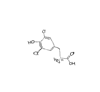 O=C(O)[C@H](O)Cc1cc(Cl)c(O)c(Cl)c1